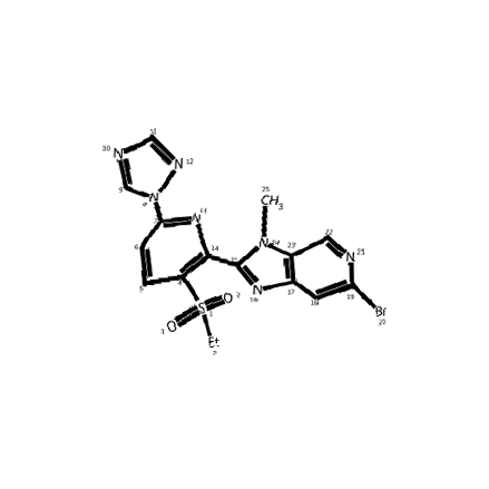 CCS(=O)(=O)c1ccc(-n2cncn2)nc1-c1nc2cc(Br)ncc2n1C